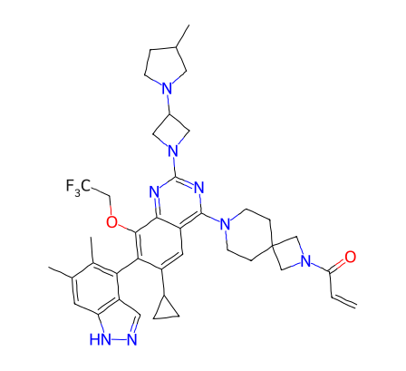 C=CC(=O)N1CC2(CCN(c3nc(N4CC(N5CCC(C)C5)C4)nc4c(OCC(F)(F)F)c(-c5c(C)c(C)cc6[nH]ncc56)c(C5CC5)cc34)CC2)C1